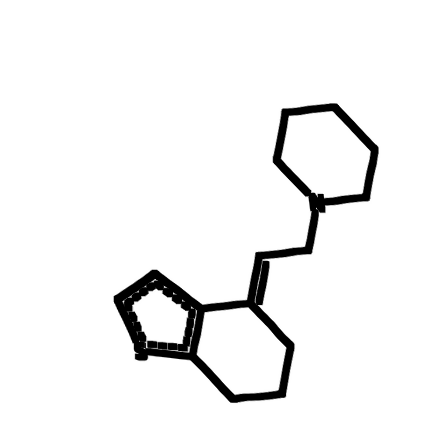 C(CN1CCCCC1)=C1CCCc2sccc21